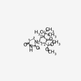 COC(=O)c1cc(N2CCC(=O)NC2=O)cc(C(C)(C)C)c1OC